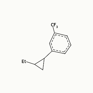 CCC1CC1c1cccc(C(F)(F)F)c1